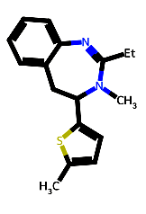 CCC1=Nc2ccccc2CC(c2ccc(C)s2)N1C